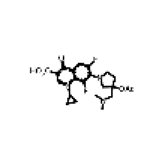 CC(=O)OC1(CN(C)C)CCN(c2c(F)cc3c(=O)c(C(=O)O)cn(C4CC4)c3c2F)C1